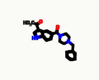 O=C(O)C(=O)c1c[nH]c2ccc(C(=O)N3CCN(Cc4ccccc4)CC3)cc12